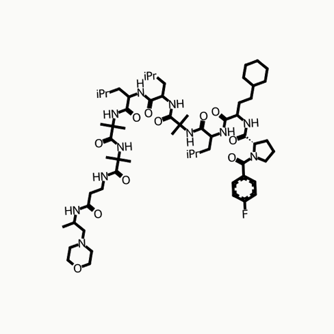 CC(C)CC(NC(=O)C(CCC1CCCCC1)NC(=O)[C@@H]1CCCN1C(=O)c1ccc(F)cc1)C(=O)NC(C)(C)C(=O)NC(CC(C)C)C(=O)NC(CC(C)C)C(=O)NC(C)(C)C(=O)NC(C)(C)C(=O)NCCC(=O)NC(C)CN1CCOCC1